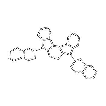 c1ccc2cc(-n3c4ccccc4c4c5c6ccccc6n(-c6ccc7ccccc7c6)c5ccc43)ccc2c1